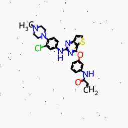 C=CC(=O)Nc1cccc(Oc2nc(Nc3ccc(N4CCN(C)CC4)c(Cl)c3)nc3ccsc23)c1